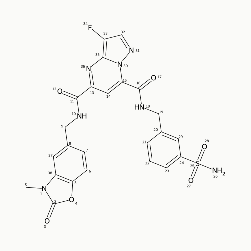 Cn1c(=O)oc2ccc(CNC(=O)c3cc(C(=O)NCc4cccc(S(N)(=O)=O)c4)n4ncc(F)c4n3)cc21